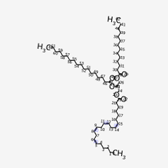 CCCCC/C=C\C/C=C\C/C=C\C/C=C\CCCCCC(=O)OC[C@@H](COC(=O)CCCCCCCCCCCCC)OC(=O)CCCCCCCCCCCCCCCCC